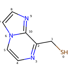 SCc1nccn2ccnc12